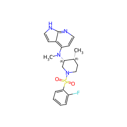 C[C@@H]1CCN(S(=O)(=O)c2ccccc2F)C[C@@H]1N(C)c1ccnc2[nH]ccc12